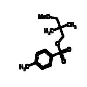 COCC(C)(C)COS(=O)(=O)c1ccc(C)cc1